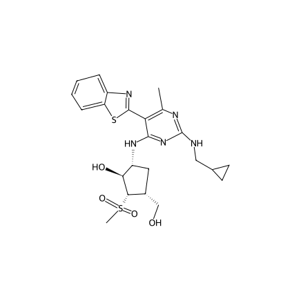 Cc1nc(NCC2CC2)nc(N[C@@H]2C[C@H](CO)[C@H](S(C)(=O)=O)[C@H]2O)c1-c1nc2ccccc2s1